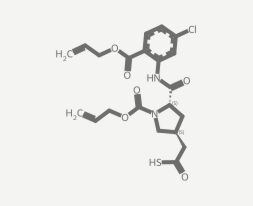 C=CCOC(=O)c1ccc(Cl)cc1NC(=O)[C@@H]1C[C@@H](CC(=O)S)CN1C(=O)OCC=C